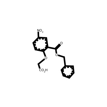 O=C(O)COc1ccc([N+](=O)[O-])cc1C(=O)OCc1ccccc1